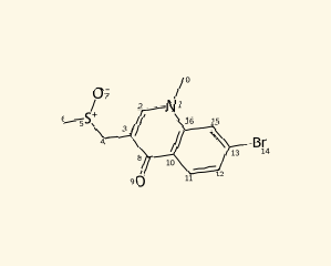 Cn1cc(C[S+](C)[O-])c(=O)c2ccc(Br)cc21